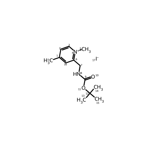 Cc1cc[n+](C)c(CNC(=O)OC(C)(C)C)c1.[I-]